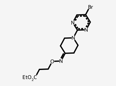 CCOC(=O)CCON=C1CCN(c2ncc(Br)cn2)CC1